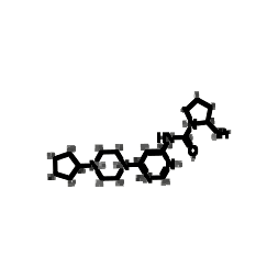 CC(C)C1CCCN1C(=O)Nc1cc(N2CCN(C3CCCC3)CC2)ncn1